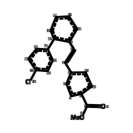 COC(=O)c1ccc(C=Cc2ccccc2-c2ccc(Cl)cc2)cc1